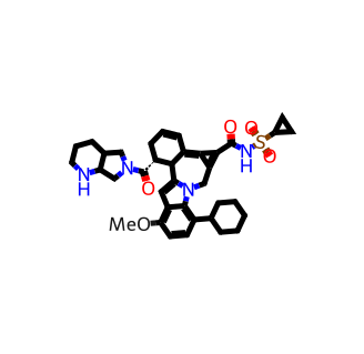 COc1ccc(C2CCCCC2)c2c1cc1n2CC2=C(C(=O)NS(=O)(=O)C3CC3)C2=C2C=CC[C@@H](C(=O)N3CC4CCCNC4C3)C21